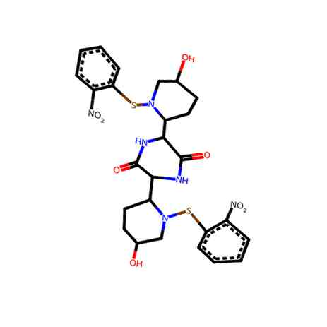 O=C1NC(C2CCC(O)CN2Sc2ccccc2[N+](=O)[O-])C(=O)NC1C1CCC(O)CN1Sc1ccccc1[N+](=O)[O-]